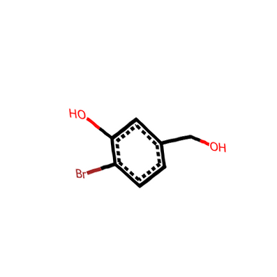 OCc1ccc(Br)c(O)c1